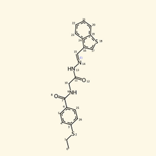 CCSc1ccc(C(=O)NCC(=O)N/N=C/c2csc3ccccc23)cc1